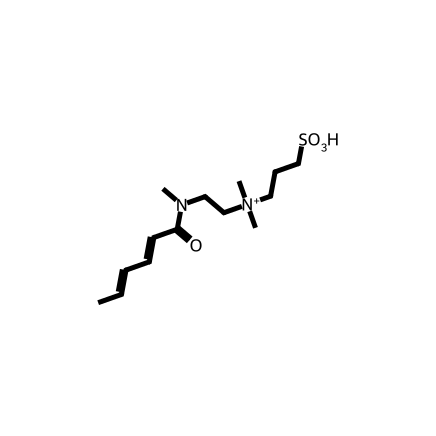 CC=CC=CC(=O)N(C)CC[N+](C)(C)CCCS(=O)(=O)O